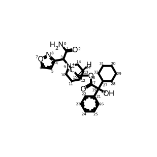 NC(=O)C(c1ccon1)[N+]12CCC(CC1)[C@@H](OC(=O)C(O)(c1ccccc1)C1CCCCC1)C2